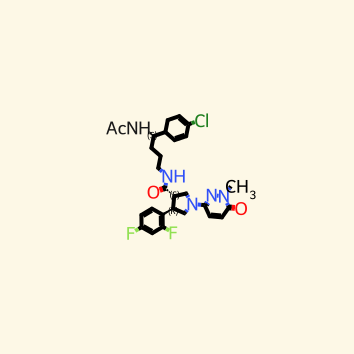 CC(=O)N[C@@H](CCCNC(=O)[C@@H]1CN(c2ccc(=O)n(C)n2)C[C@H]1c1ccc(F)cc1F)C1C=CC(Cl)=CC1